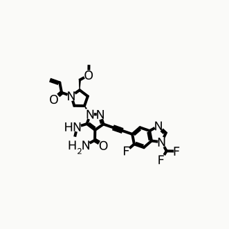 C=CC(=O)N1C[C@@H](n2nc(C#Cc3cc4ncn(C(F)F)c4cc3F)c(C(N)=O)c2NC)C[C@@H]1COC